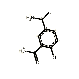 CC(N)c1ccc(Cl)c(C(N)=O)c1